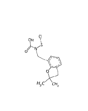 CC1(C)Cc2cccc(CN(SCl)C(=O)O)c2O1